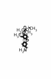 CCOC(=O)C(C)(C)Oc1ccc(Oc2cccc(CN)c2)cc1CC